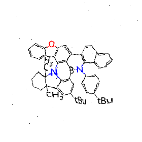 CC(C)(C)c1ccc(N2B3c4cc(C(C)(C)C)cc5c4N(c4c3c(cc3oc6ccccc6c43)-c3ccc4ccccc4c32)C2(C)CCCCC52C)cc1